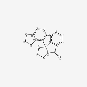 O=C1c2ccccc2C2(c3cccc4c3CCC4)OCCN12